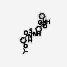 CC(C)COc1cccc(C(=O)NC(=S)Nc2ccc(S(=O)(=O)Nc3ccccc3)cc2)c1